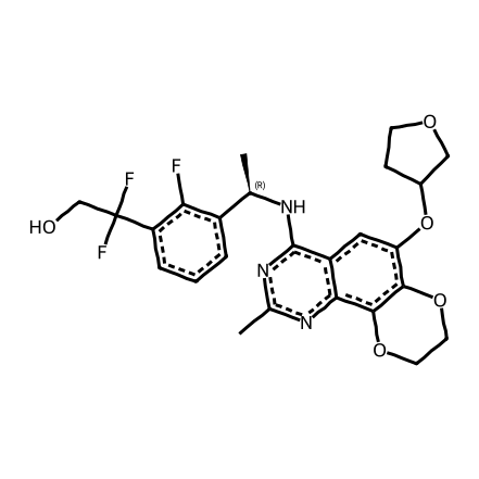 Cc1nc(N[C@H](C)c2cccc(C(F)(F)CO)c2F)c2cc(OC3CCOC3)c3c(c2n1)OCCO3